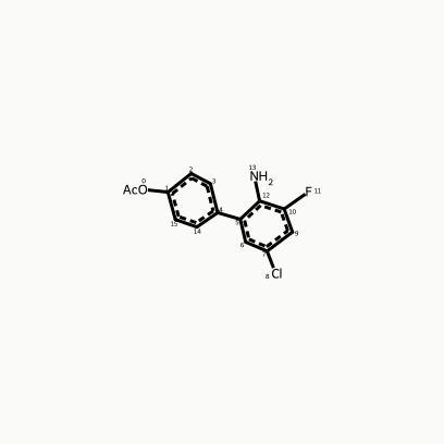 CC(=O)Oc1ccc(-c2cc(Cl)cc(F)c2N)cc1